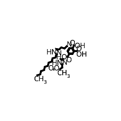 CC(Cc1ncc[nH]1)OC=O.CCCCCCCCCCCc1nc(CCC#N)c[nH]1.O=C(O)c1ccc(C(=O)O)c(C(=O)O)c1